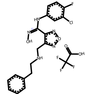 O/N=C(/Nc1ccc(F)c(Cl)c1)c1nonc1CNCCc1ccccc1.O=C(O)C(F)(F)F